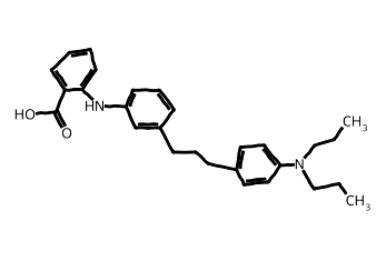 CCCN(CCC)c1ccc(CCCc2cccc(Nc3ccccc3C(=O)O)c2)cc1